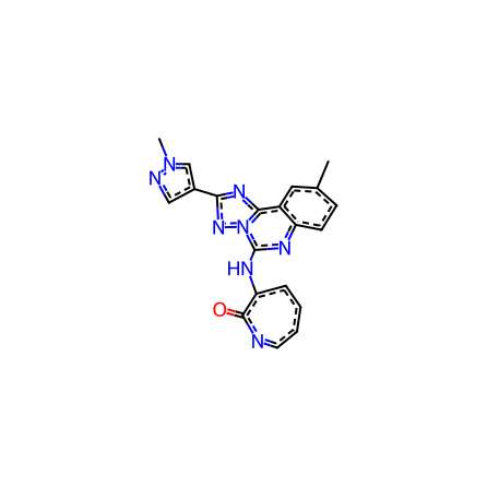 Cc1ccc2nc(Nc3ccccnc3=O)n3nc(-c4cnn(C)c4)nc3c2c1